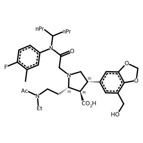 CCCC(CCC)N(C(=O)CN1C[C@H](c2cc(CO)c3c(c2)OCO3)[C@@H](C(=O)O)[C@@H]1CCN(CC)C(C)=O)c1ccc(F)c(C)c1